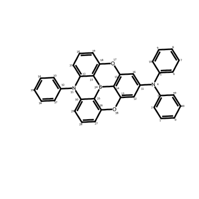 c1ccc(N(c2ccccc2)c2cc3c4c(c2)Oc2cccc5c2B4c2c(cccc2N5c2ccccc2)O3)cc1